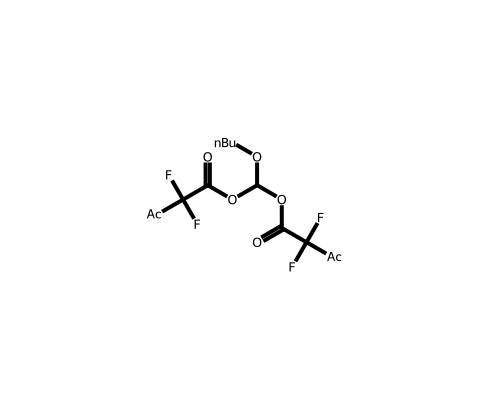 CCCCOC(OC(=O)C(F)(F)C(C)=O)OC(=O)C(F)(F)C(C)=O